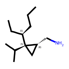 CCC[C@H](CC)[C@@]1(C(C)C)C[C@H]1CN